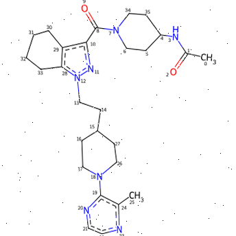 CC(=O)NC1CCN(C(=O)c2nn(CCC3CCN(c4nccnc4C)CC3)c3c2CCCC3)CC1